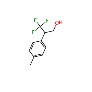 Cc1ccc(C(CO)C(F)(F)F)cc1